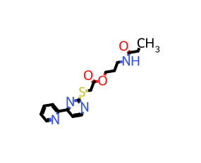 CCC(=O)NCCCOC(=O)CSc1nccc(-c2ccccn2)n1